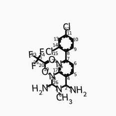 CN1C(N)c2ccc(-c3ccc(Cl)cc3Cl)nc2N(OC(=O)C(F)(F)F)C1N